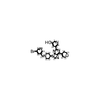 Oc1cncc(-c2nc(C3=CCOCC3)c3ncn(C4CCN(Cc5cncc(Br)c5)CC4)c3n2)c1